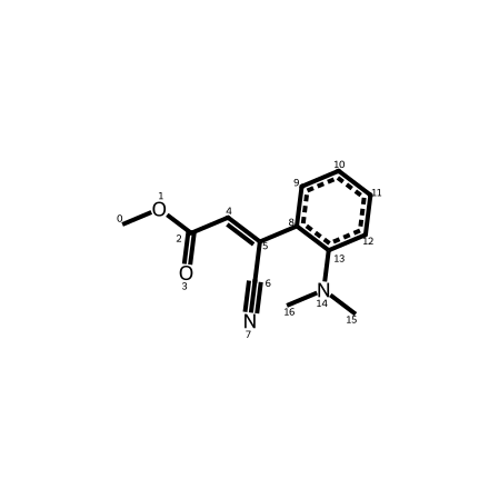 COC(=O)C=C(C#N)c1ccccc1N(C)C